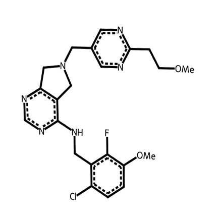 COCCc1ncc(CN2Cc3ncnc(NCc4c(Cl)ccc(OC)c4F)c3C2)cn1